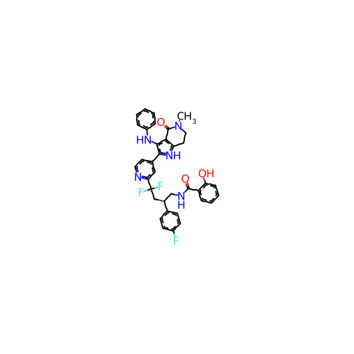 CN1CCc2[nH]c(-c3ccnc(C(F)(F)C[C@@H](CNC(=O)c4ccccc4O)c4ccc(F)cc4)c3)c(Nc3ccccc3)c2C1=O